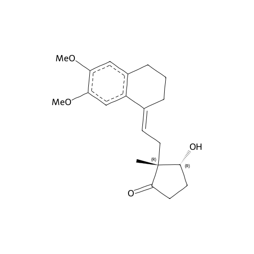 COc1cc2c(cc1OC)C(=CC[C@@]1(C)C(=O)CC[C@H]1O)CCC2